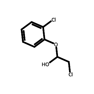 OC(CCl)Oc1ccccc1Cl